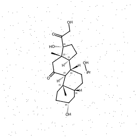 CC(C)O.C[C@]12CC[C@@H](O)C[C@H]1CC[C@@H]1[C@@H]2C(=O)C[C@@]2(C)[C@H]1CC[C@]2(O)C(=O)CO